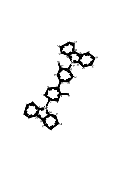 Cc1cc(-n2c3ccccc3c3ccccc32)ccc1-c1ccc(-n2c3ccccc3c3ccccc32)c(C)c1